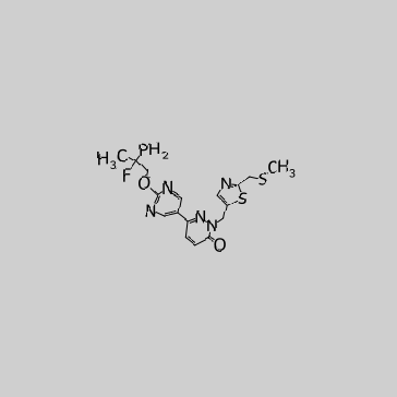 CSCc1ncc(Cn2nc(-c3cnc(OCC(C)(F)P)nc3)ccc2=O)s1